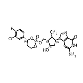 C=C1[C@H](CO[P@]2(=O)OCC[C@H](c3ccc(F)c(Cl)c3)O2)[C@@H](O)C[C@@H]1n1cnc2c(=O)[nH]c(N)nc21